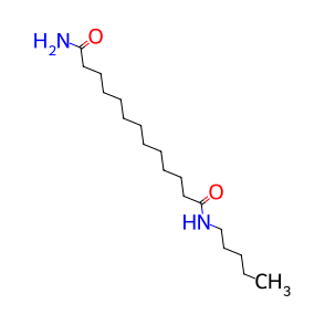 CCCCCNC(=O)CCCCCCCCCCCC(N)=O